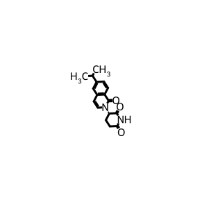 CC(C)c1ccc2c(=O)n([C@H]3CCC(=O)NC3=O)ccc2c1